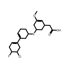 COC1=CC(CC(=O)O)CC(SC2CCC=C(C3=CCC(F)C(Cl)C3)C2)C1